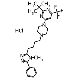 Cl.Cn1c(CCCCN2CCN(c3cc(C(F)(F)F)nc(C(C)(C)C)n3)CC2)nnc1-c1ccccc1